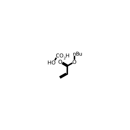 C=CC(=O)OCCCC.O=C(O)O